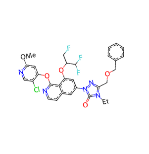 CCn1c(COCc2ccccc2)nn(-c2cc(OC(CF)C(F)F)c3c(Oc4cc(OC)ncc4Cl)nccc3c2)c1=O